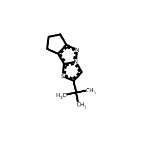 CC(C)(C)c1cn2nc3c(c2s1)CCC3